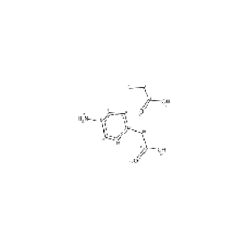 CCC(=O)O.Nc1ccc(CC(=O)O)cc1